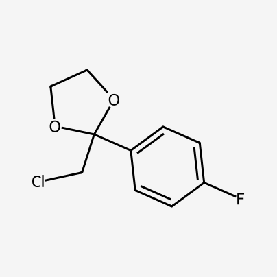 Fc1ccc(C2(CCl)OCCO2)cc1